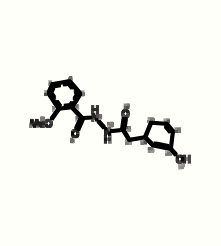 COc1ccccc1C(=O)NNC(=O)CC1C=C(O)C=CC1